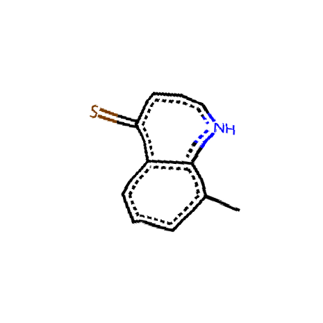 Cc1cccc2c(=S)cc[nH]c12